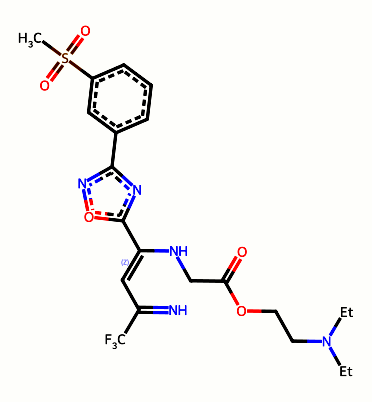 CCN(CC)CCOC(=O)CN/C(=C\C(=N)C(F)(F)F)c1nc(-c2cccc(S(C)(=O)=O)c2)no1